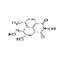 Cc1ccc2c3c1C(=NO)C(O)=CC3C(=O)N(O)C2=O